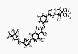 CC1(C)CCC(CNc2cccc(SNC(=O)c3ccc(-n4ccc(OCCC5(C(F)(F)F)CC5)n4)nc3Cl)n2)N1